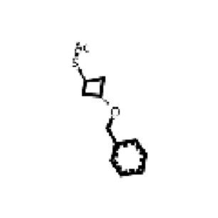 CC(=O)S[C@H]1C[C@H](OCc2ccccc2)C1